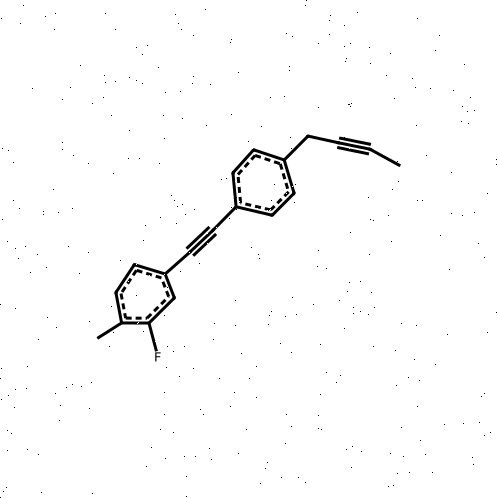 CC#CCc1ccc(C#Cc2ccc(C)c(F)c2)cc1